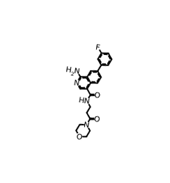 Nc1ncc(C(=O)NCCC(=O)N2CCOCC2)c2ccc(-c3cccc(F)c3)cc12